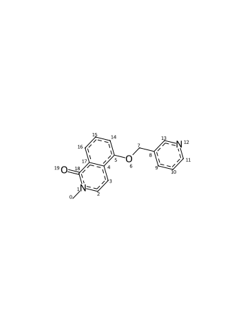 Cn1ccc2c(OCc3cccnc3)cccc2c1=O